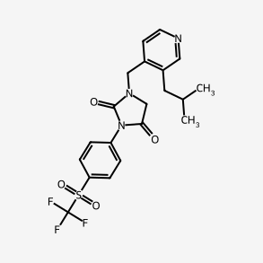 CC(C)Cc1cnccc1CN1CC(=O)N(c2ccc(S(=O)(=O)C(F)(F)F)cc2)C1=O